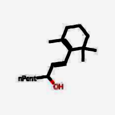 CCCCCC(O)/C=C/C1=C(C)CCCC1(C)C